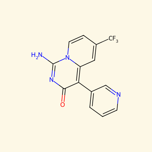 Nc1nc(=O)c(-c2cccnc2)c2cc(C(F)(F)F)ccn12